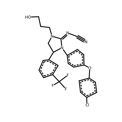 N#CN=C1N(CCCO)CC(c2cccc(C(F)(F)F)c2)N1c1ccc(Oc2ccc(Cl)cc2)cc1